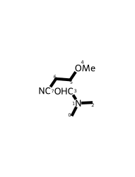 CN(C)C=O.COCCC#N